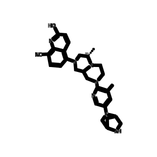 Cc1cc(N2CC3CC2CN3)cnc1N1CCN2C(C1)CN(c1ccc(C#N)c3nc(O)ccc13)C[C@@H]2C